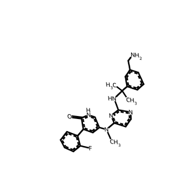 CN(c1c[nH]c(=O)c(-c2ccccc2F)c1)c1ccnc(NC(C)(C)c2cccc(CN)c2)n1